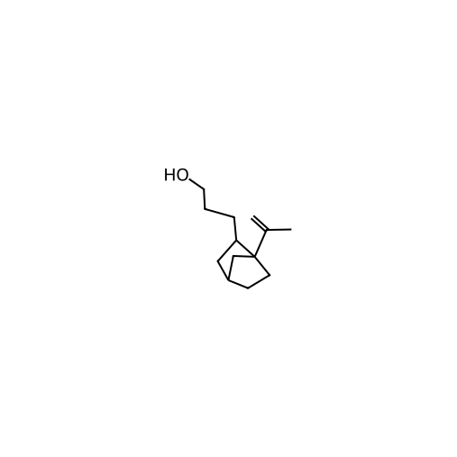 C=C(C)C12CCC(CC1CCCO)C2